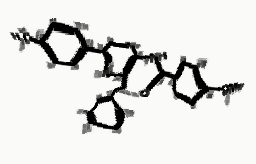 COc1ccc(C(=O)Nc2ncc(-c3ccc(C)cc3)nc2Cc2ccccc2)cc1